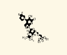 CCOP(=O)(COC[C@H]1O[C@@H](n2ncc3c(N4CCC(F)(F)C4)c(C#N)c(Cl)nc32)[C@@H]2OC(C)(C)O[C@@H]21)OCC